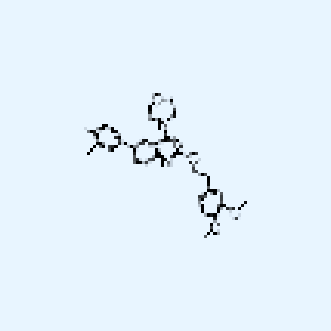 COc1ccc(CCOc2nc(N3CCOCC3)c3cc(-c4ccc(C)c(C)c4)ccc3n2)cc1OC